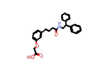 O=C(O)COc1cccc(CCCC(=O)NCC(c2ccccc2)c2ccccc2)c1